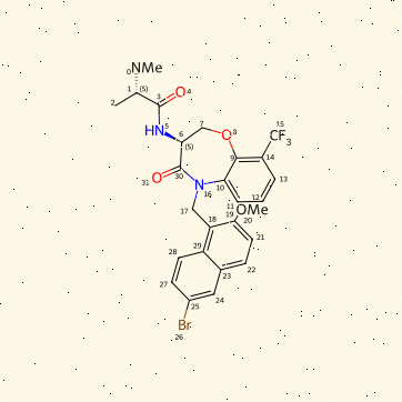 CN[C@@H](C)C(=O)N[C@H]1COc2c(cccc2C(F)(F)F)N(Cc2c(OC)ccc3cc(Br)ccc23)C1=O